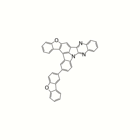 c1ccc2nc3c(nc2c1)c1cc2oc4ccccc4c2c2c4cc(-c5ccc6oc7ccccc7c6c5)ccc4n3c12